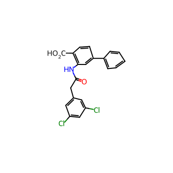 O=C(Cc1cc(Cl)cc(Cl)c1)Nc1cc(-c2ccccc2)ccc1C(=O)O